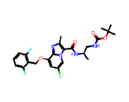 Cc1nc2c(OCc3c(F)cccc3F)cc(Cl)cn2c1C(=O)NC(C)CNC(=O)OC(C)(C)C